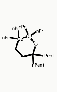 CCCCCC1(CCCCC)C[CH2][Ge]([CH2]CC)([CH2]CC)[Ge]([CH2]CC)([CH2]CC)[O]1